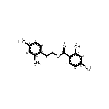 Cc1ccc(CCOC(=O)c2ccc(O)cc2O)c(C)c1